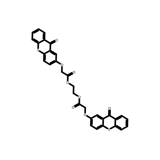 O=C(COc1ccc2sc3ccccc3c(=O)c2c1)OCCOC(=O)COc1ccc2sc3ccccc3c(=O)c2c1